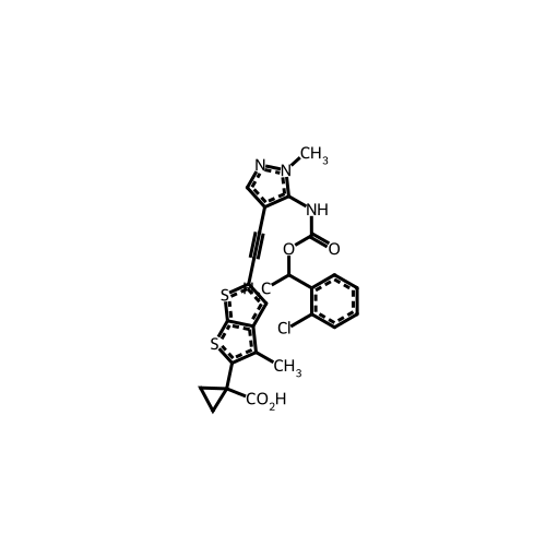 Cc1c(C2(C(=O)O)CC2)sc2sc(C#Cc3cnn(C)c3NC(=O)OC(C)c3ccccc3Cl)cc12